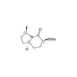 CN[C@H]1CC[C@H]2CC[C@@H](C)N2C1=O